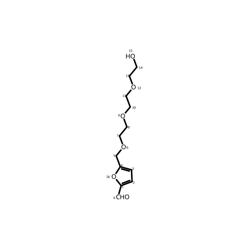 O=Cc1ccc(COCCOCCOCCO)o1